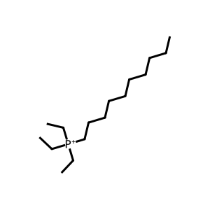 CCCCCCCCCC[P+](CC)(CC)CC